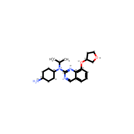 CC(C)N(c1ncc2cccc(OC3CCOC3)c2n1)C1CCC(N)CC1